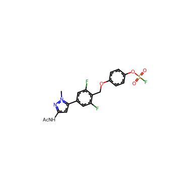 CC(=O)Nc1cc(-c2cc(F)c(COc3ccc(OS(=O)(=O)F)cc3)c(F)c2)n(C)n1